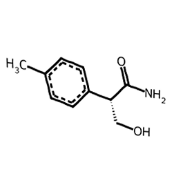 Cc1ccc([C@@H](CO)C(N)=O)cc1